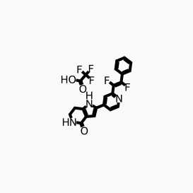 O=C(O)C(F)(F)F.O=C1NCCc2[nH]c(-c3ccnc(C(F)=C(F)c4ccccc4)c3)cc21